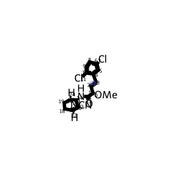 COC(/C=C/c1cc(Cl)ccc1Cl)C(=O)N[C@@H]1C[C@@H]2CC[C@H]1N2C#N